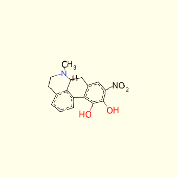 CN1CCc2cccc3c2[C@H]1Cc1cc([N+](=O)[O-])c(O)c(O)c1-3